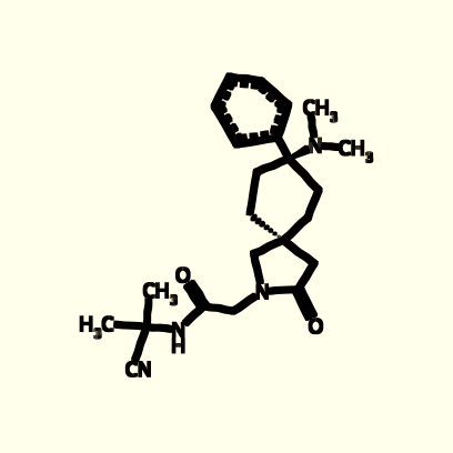 CN(C)[C@]1(c2ccccc2)CC[C@]2(CC1)CC(=O)N(CC(=O)NC(C)(C)C#N)C2